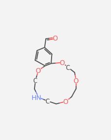 O=Cc1ccc2c(c1)OCCOCCOCCNCCO2